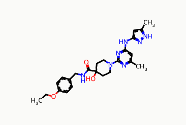 CCOc1ccc(CNC(=O)C2(O)CCN(c3nc(C)cc(Nc4cc(C)[nH]n4)n3)CC2)cc1